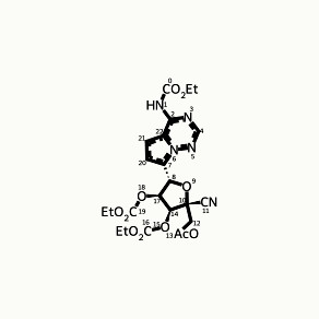 CCOC(=O)Nc1ncnn2c([C@@H]3O[C@](C#N)(COC(C)=O)[C@@H](OC(=O)OCC)[C@H]3OC(=O)OCC)ccc12